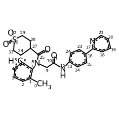 Cc1cccc(C)c1N(CC(=O)Nc1ccc(-c2ccccn2)cc1)C(=O)C1CCS(=O)(=O)CC1